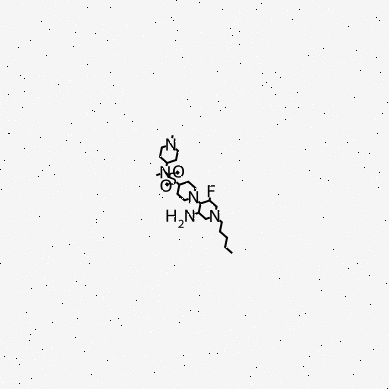 CCCCCN1CC(N)C(N2CCC(S(=O)(=O)N(C)C3CCN(C)CC3)CC2)C(F)C1